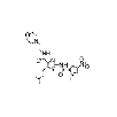 CC(C)CCc1sc(NC(=O)c2cc([N+](=O)[O-])cn2C)nc1C(=O)NCCN1CCOCC1